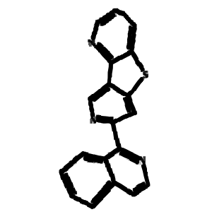 c1ccc2c(-c3cc4sc5cccnc5c4cn3)nccc2c1